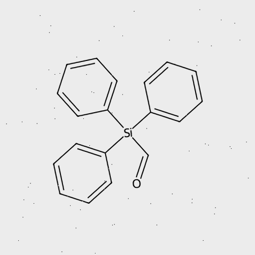 O=C[Si](c1ccccc1)(c1ccccc1)c1ccccc1